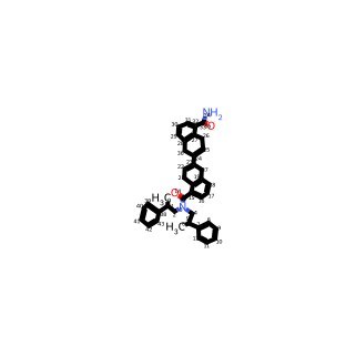 CC(CN(CC(C)c1ccccc1)C(=O)c1cccc2c1CC=C(C1=CCc3c(cccc3C(N)=O)C1)C2)c1ccccc1